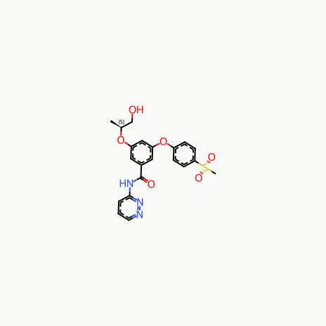 C[C@@H](CO)Oc1cc(Oc2ccc(S(C)(=O)=O)cc2)cc(C(=O)Nc2cccnn2)c1